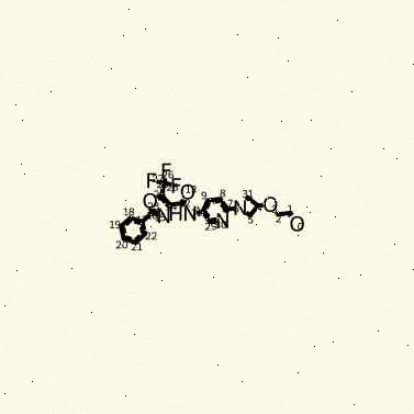 O=CCOC1CN(c2ccc(NC(=O)c3nc(-c4ccccc4)oc3C(F)(F)F)cn2)C1